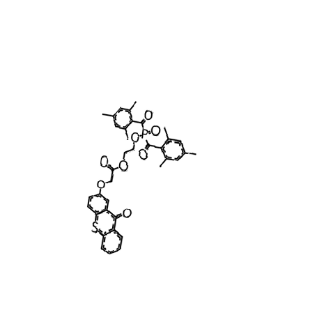 Cc1cc(C)c(C(=O)P(=O)(OCCOC(=O)COc2ccc3sc4ccccc4c(=O)c3c2)C(=O)c2c(C)cc(C)cc2C)c(C)c1